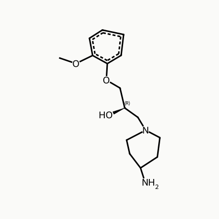 COc1ccccc1OC[C@H](O)CN1CCC(N)CC1